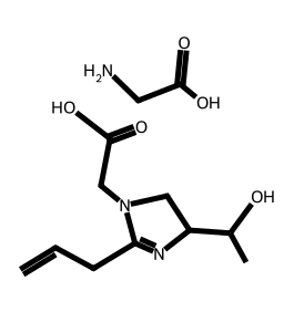 C=CCC1=NC(C(C)O)CN1CC(=O)O.NCC(=O)O